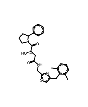 Cc1cccc(C)c1Cc1csc(CNC(=O)C[C@@H](O)C(=O)N2CCCC2c2ccccc2)n1